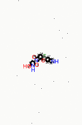 O=C1NC(O)CCC1N1Cc2c(Oc3cc4c(cc3F)CNC4)cccc2C1=O